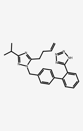 C=CCCc1nc(C(C)C)nn1Cc1ccc(-c2ccccc2-c2nnn[nH]2)cc1